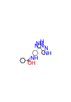 N=N/C(=C1\NC=Nc2[nH]ccc21)[C@H]1CC[C@H](NC[C@H](O)c2ccccc2)CC1